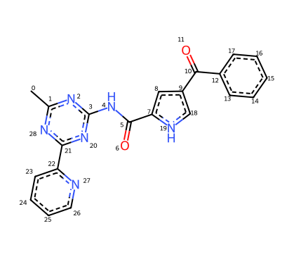 Cc1nc(NC(=O)c2cc(C(=O)c3ccccc3)c[nH]2)nc(-c2ccccn2)n1